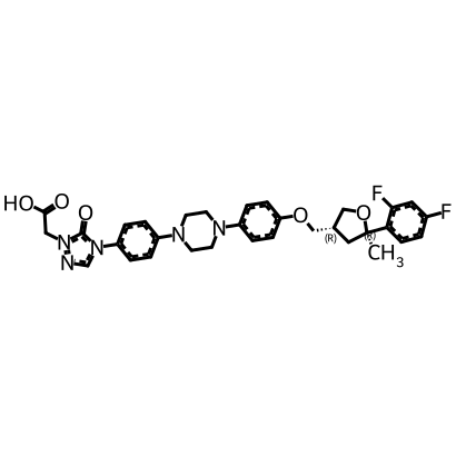 C[C@]1(c2ccc(F)cc2F)C[C@H](COc2ccc(N3CCN(c4ccc(-n5cnn(CC(=O)O)c5=O)cc4)CC3)cc2)CO1